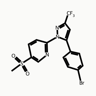 CS(=O)(=O)c1ccc(-n2nc(C(F)(F)F)cc2-c2ccc(Br)cc2)nc1